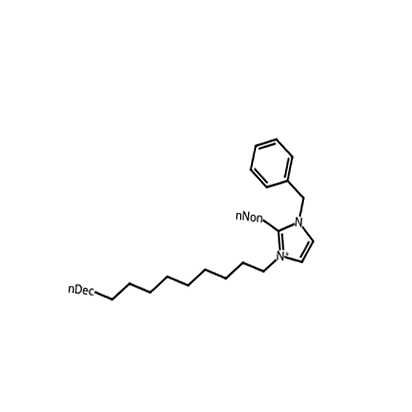 CCCCCCCCCCCCCCCCCCC[n+]1ccn(Cc2ccccc2)c1CCCCCCCCC